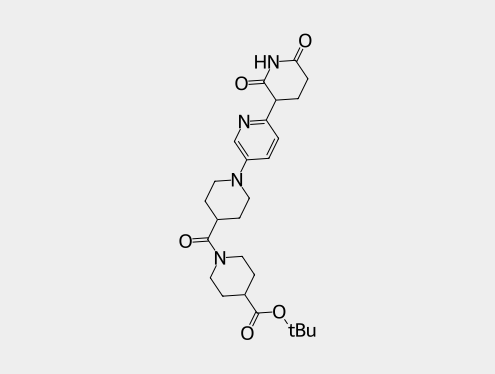 CC(C)(C)OC(=O)C1CCN(C(=O)C2CCN(c3ccc(C4CCC(=O)NC4=O)nc3)CC2)CC1